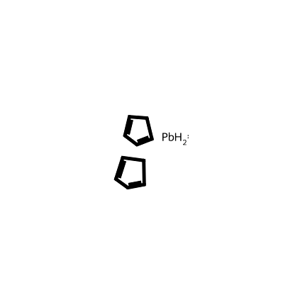 C1=CCC=C1.C1=CCC=C1.[PbH2]